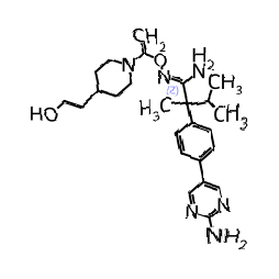 C=C(O/N=C(\N)C(C)(c1ccc(-c2cnc(N)nc2)cc1)C(C)C)N1CCC(CCO)CC1